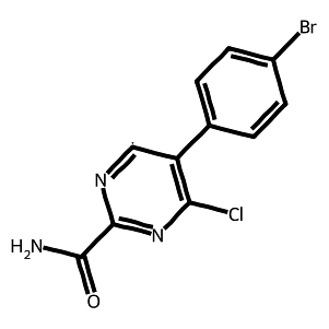 NC(=O)c1n[c]c(-c2ccc(Br)cc2)c(Cl)n1